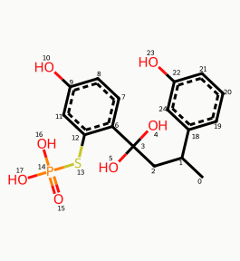 CC(CC(O)(O)c1ccc(O)cc1SP(=O)(O)O)c1cccc(O)c1